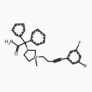 C[N+]1(CCC#Cc2cc(F)cc(F)c2)CC[C@@H](C(C(N)=O)(c2ccccc2)c2ccccc2)C1